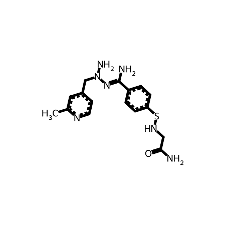 Cc1cc(CN(N)/N=C(\N)c2ccc(SNCC(N)=O)cc2)ccn1